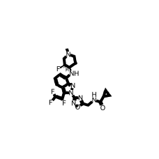 CN1CC[C@@H](Nc2cccc3c(C(F)=C(F)F)n(-c4noc(CNC(=O)C5CC5)n4)nc23)[C@@H](F)C1